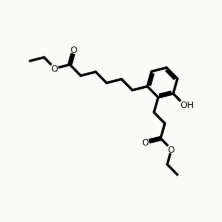 CCOC(=O)CCCCCc1cccc(O)c1CCC(=O)OCC